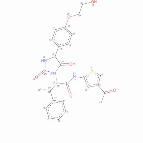 CC(=O)c1csc(NC(=O)[C@H]([C@@H](C)c2ccccc2)N2C(=O)NC(c3ccc(OCCO)cc3)C2=O)n1